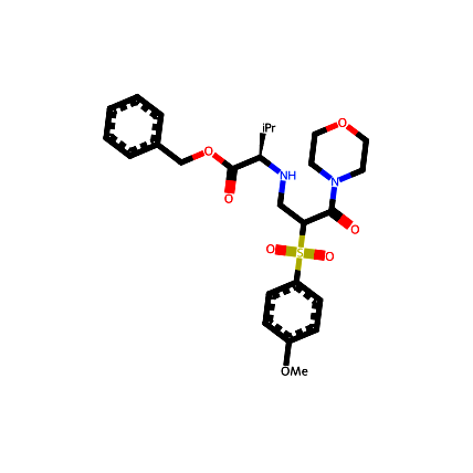 COc1ccc(S(=O)(=O)C(CN[C@@H](C(=O)OCc2ccccc2)C(C)C)C(=O)N2CCOCC2)cc1